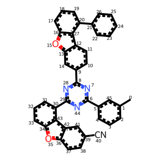 Cc1cccc(-c2nc(-c3ccc4c(c3)oc3cccc(-c5ccccc5)c34)nc(-c3cccc4oc5ccc(C#N)cc5c34)n2)c1